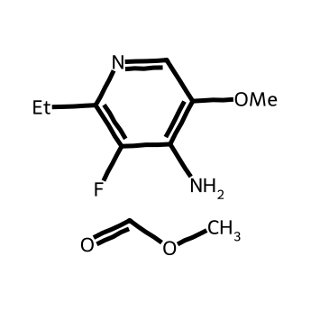 CCc1ncc(OC)c(N)c1F.COC=O